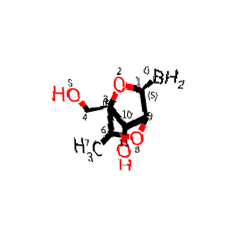 B[C@@H]1O[C@@]2(CO)C(C)OC1C2O